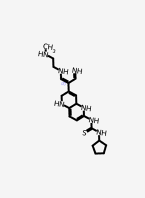 CNCCN/C=C(\C=N)C1=CC2NC(NC(=S)NC3CCCC3)=CC=C2NC1